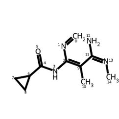 C=N/C(NC(=O)C1CC1)=C(C)\C(N)=N/C